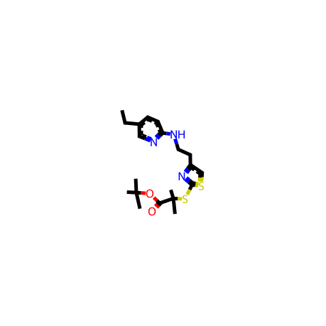 CCc1ccc(NCCc2csc(SC(C)(C)C(=O)OC(C)(C)C)n2)nc1